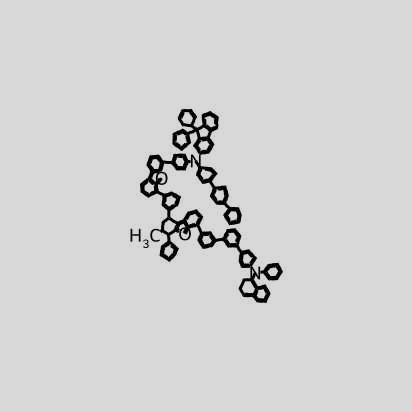 CC1CC(c2cccc(-c3cccc4c3oc3c(-c5ccc(N(c6ccc(-c7ccc(-c8ccccc8)cc7)cc6)c6ccc7c(c6)C(c6ccccc6)(C6C=CC=CC6)c6ccccc6-7)cc5)cccc34)c2)c2c(oc3c(-c4cccc(-c5cccc(-c6ccc(N(C7=c8ccccc8=CCC7)c7ccccc7)cc6)c5)c4)cccc23)C1c1ccccc1